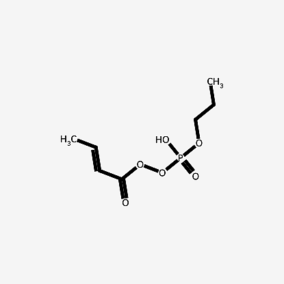 CC=CC(=O)OOP(=O)(O)OCCC